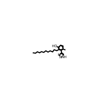 CCCCCCCCCCCCc1c(O)ccc(C)c1-c1c[nH]nn1